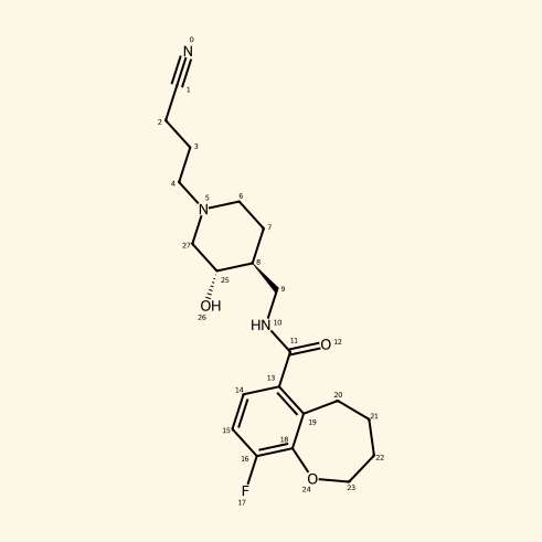 N#CCCCN1CC[C@@H](CNC(=O)c2ccc(F)c3c2CCCCO3)[C@H](O)C1